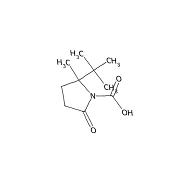 CC(C)(C)C1(C)CCC(=O)N1C(=O)O